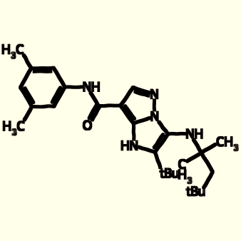 Cc1cc(C)cc(NC(=O)c2cnn3c(NC(C)(C)CC(C)(C)C)c(C(C)(C)C)[nH]c23)c1